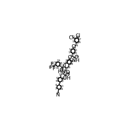 N#Cc1ccc(-c2ccc(C[C@H](NC(=O)C3Cc4cc5c(cc4CN3C(=O)c3cccc(C(F)(F)F)c3)O[C@@H](c3ccc(OCc4ccc(Cl)c(Cl)c4)cc3)C(=O)N5)C(=O)O)cc2)cc1